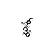 Cc1cc(CF)ccc1S(=O)(=O)N1CCN2C(=O)c3cccnc3C2(C)C1